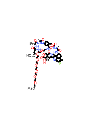 CC[C@@]1(O)C(=O)OCc2c1cc1n(c2=O)Cc2c-1nc1cc(F)c(C)c3c1c2[C@@H](NC(=O)[C@H](C)NC(=O)OCc1ccc(NC(=O)[C@@H](C)NC(=O)[C@@H](NC(=O)[C@@H](N)CCC(=O)O)C(C)C)cc1C(=O)NCCOCCOCCOCCOCCOCCOCCOCCOC)CC3